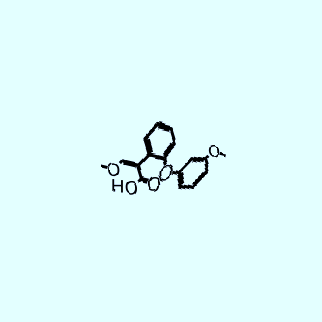 CO/C=C(\C(=O)O)c1ccccc1Oc1cccc(OC)c1